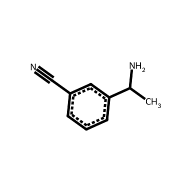 CC(N)c1cccc(C#N)c1